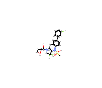 CS(=O)(=O)N[C@@H]1[C@H](Cc2cccc(-c3cccc(F)c3)c2)N(C(=O)C2CCO2)CC1(F)F